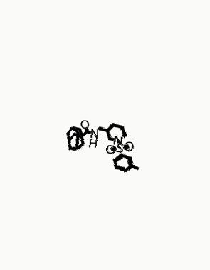 Cc1cccc(S(=O)(=O)N2CCCC(CNC(=O)C34CC5CC(CC(C5)C3)C4)C2)c1